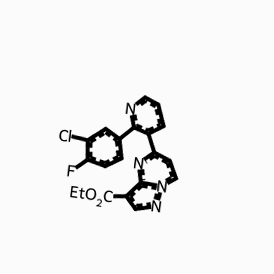 CCOC(=O)c1cnn2ccc(-c3cccnc3-c3ccc(F)c(Cl)c3)nc12